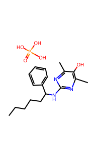 CCCCCC(Nc1nc(C)c(O)c(C)n1)c1ccccc1.O=P(O)(O)O